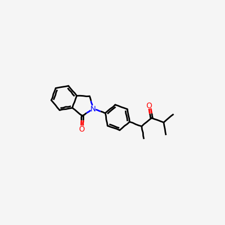 CC(C)C(=O)C(C)c1ccc(N2Cc3ccccc3C2=O)cc1